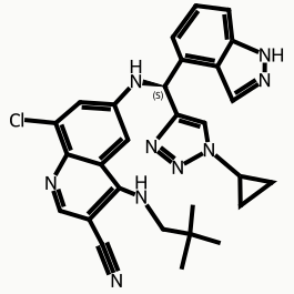 CC(C)(C)CNc1c(C#N)cnc2c(Cl)cc(N[C@H](c3cn(C4CC4)nn3)c3cccc4[nH]ncc34)cc12